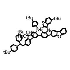 CC(C)(C)c1ccc(C(Cc2ccc3c(c2)C(C)(C)c2cc4c(cc2-3)-c2ccc3c5cc6oc7ccccc7c6cc5n5c3c2B(c2sc3ccc(C(C)(C)C)cc3c2-5)N4c2ccc(C(C)(C)C)cc2)c2ccc(C(C)(C)C)cc2)cc1